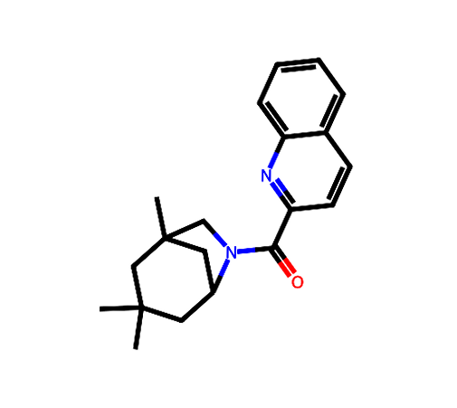 CC1(C)CC2CC(C)(CN2C(=O)c2ccc3ccccc3n2)C1